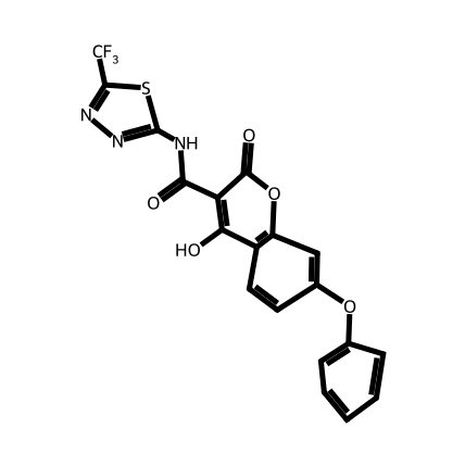 O=C(Nc1nnc(C(F)(F)F)s1)c1c(O)c2ccc(Oc3ccccc3)cc2oc1=O